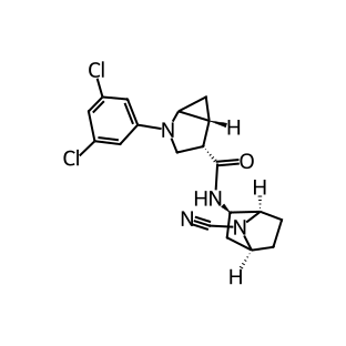 N#CN1[C@H]2CC[C@@H]1[C@H](NC(=O)[C@@H]1CN(c3cc(Cl)cc(Cl)c3)C3C[C@@H]31)C2